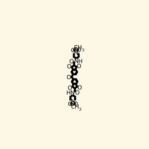 CS(=O)(=O)N1CCC(NC(=O)C2C(=O)c3ccc(C(=O)c4ccc5c(c4)C(=O)C(C(=O)NC4CCN(S(C)(=O)=O)CC4)C5=O)cc3C2=O)CC1